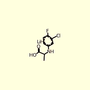 CC(Nc1ccc(F)c(Cl)c1)C(=O)O.[LiH]